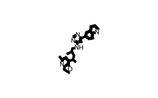 Cc1cc(C(C)CC(C)CNc2cc(-c3ccc4ncccc4c3)ncn2)c2c(n1)CCO2